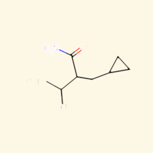 CCCCCCCC(CCC)C(CC1CC1)C(N)=O